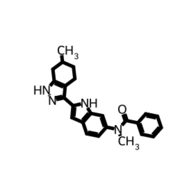 CC1CCc2c(-c3cc4ccc(N(C)C(=O)c5ccccc5)cc4[nH]3)n[nH]c2C1